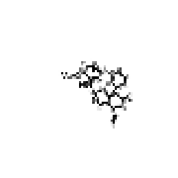 C#Cc1cc(=O)n(-c2cccc(N)c2)c2nc(Nc3ccccc3OC)ncc12